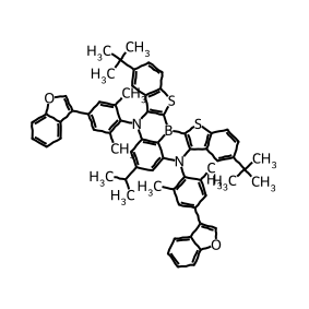 Cc1cc(-c2coc3ccccc23)cc(C)c1N1c2cc(C(C)C)cc3c2B(c2sc4ccc(C(C)(C)C)cc4c21)c1sc2ccc(C(C)(C)C)cc2c1N3c1c(C)cc(-c2coc3ccccc23)cc1C